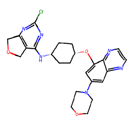 Clc1nc2c(c(N[C@H]3CC[C@@H](Oc4cc(N5CCOCC5)cc5nccnc45)CC3)n1)COC2